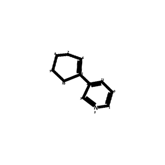 [c]1cncc(C2=CCCCC2)c1